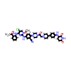 COc1cc(N2CCN(C(=O)CN3CCC(c4ccc(NC5CCC(=O)NC5=O)cc4)CC3)CC2)c(C#N)cc1Nc1ncc(Cl)c(Nc2ccccc2C(C)=O)n1